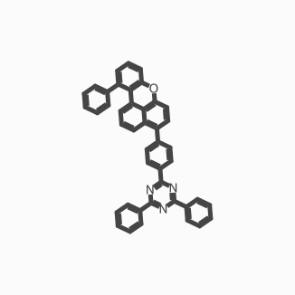 c1ccc(-c2nc(-c3ccccc3)nc(-c3ccc(-c4ccc5c6c(cccc46)-c4c(cccc4-c4ccccc4)O5)cc3)n2)cc1